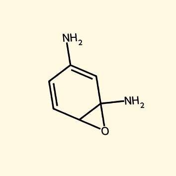 NC1=CC2(N)OC2C=C1